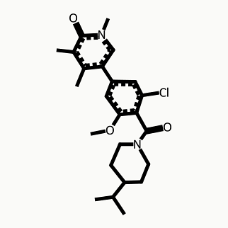 COc1cc(-c2cn(C)c(=O)c(C)c2C)cc(Cl)c1C(=O)N1CCC(C(C)C)CC1